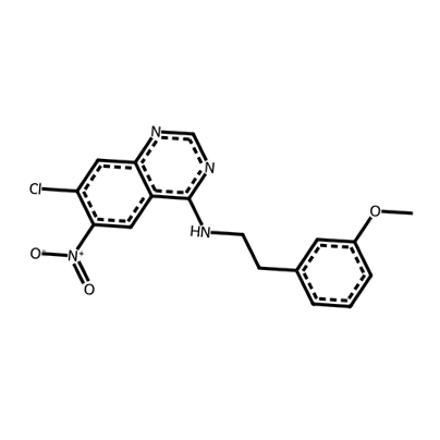 COc1cccc(CCNc2ncnc3cc(Cl)c([N+](=O)[O-])cc23)c1